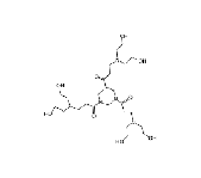 O=C(CCC(CCO)CCO)N1CN(C(=O)CCN(CCO)CCO)CN(C(=O)CCN(CCO)CCO)C1